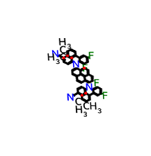 Cc1ccc(-c2cc(F)cc(F)c2N(c2ccc(C#N)cc2)c2ccc3ccc4c(N(c5ccc(C#N)cc5)c5c(F)cc(F)cc5-c5ccc(C)c(C)c5)ccc5ccc2c3c54)cc1C